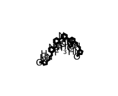 COc1nc(-c2ccnc(-c3cccc(Nc4nccc(CNCC5CCC(=O)N5)c4F)c3Cl)c2C)ccc1CNCC1CCC(=O)N1